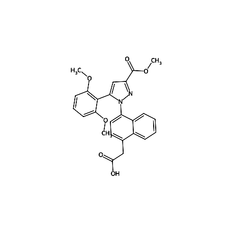 COC(=O)c1cc(-c2c(OC)cccc2OC)n(-c2ccc(CC(=O)O)c3ccccc23)n1